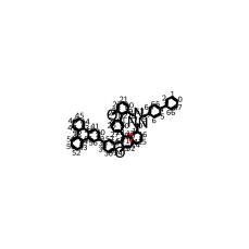 c1ccc(-c2ccc(-c3nc(-c4ccccc4)nc(-c4cccc5oc6ccc(-c7cccc8oc9ccc(-c%10ccc%11c%12ccccc%12c%12ccccc%12c%11c%10)cc9c78)cc6c45)n3)cc2)cc1